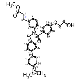 COC(=O)/C=C/c1cccc(N(Cc2ccc(-c3ccc(N(C)C)cc3)cc2)C(=O)c2ccc(OCCO)cc2)c1